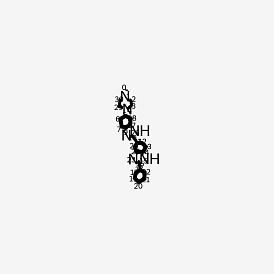 CN1CCN(c2ccc3nc(-c4ccc5[nH]c(-c6ccccc6)nc5c4)[nH]c3c2)CC1